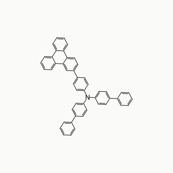 c1ccc(-c2ccc(N(c3ccc(-c4ccccc4)cc3)c3ccc(-c4ccc5c6ccccc6c6ccccc6c5c4)cc3)cc2)cc1